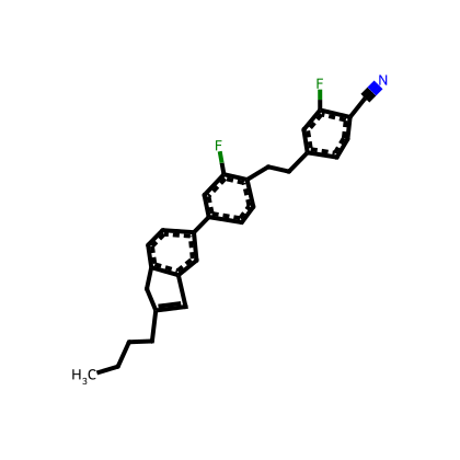 CCCCC1=Cc2cc(-c3ccc(CCc4ccc(C#N)c(F)c4)c(F)c3)ccc2C1